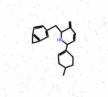 C=C1C=CC(C2=CCC(C)CC2)NC1Cc1ccc2c(c1)C2